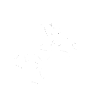 C1=CC2Oc3ccccc3N(c3ccc(N4C5C=CC=CC5OC5C=CC=CC54)cc3)C2C=C1